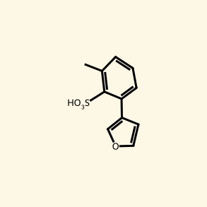 Cc1cccc(-c2ccoc2)c1S(=O)(=O)O